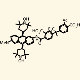 CNc1ccc2c(=C3CC(C)(C)N(O)C(C)(C)C3)c3cc(NC(=O)c4ccc(C(C)(c5ccc(C(=O)O)c(C(C)=O)c5)C(F)(F)F)cc4C(=O)O)ccc3c(=C3CC(C)(C)N(O)C(C)(C)C3)c2c1